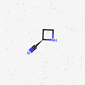 N#C[C@H]1CCN1